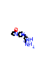 N/C=C1/C/C(=C\N2CCC(N3CCCC3=O)CC2)CN1